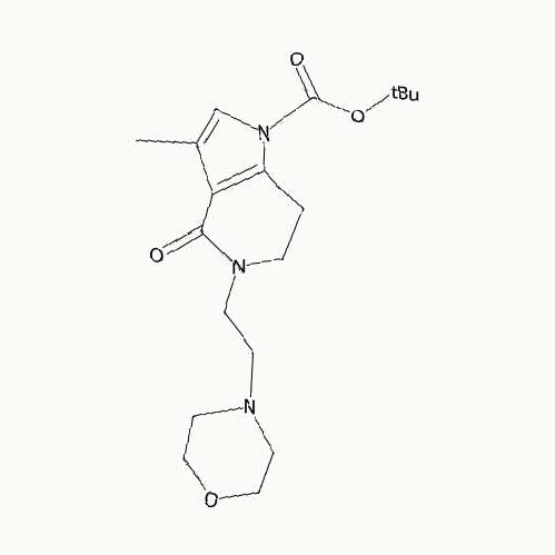 Cc1cn(C(=O)OC(C)(C)C)c2c1C(=O)N(CCN1CCOCC1)CC2